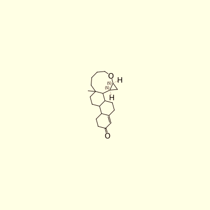 CC12CCCCO[C@H]3C[C@H]3C1C1CCC3=CC(=O)CCC3C1CC2